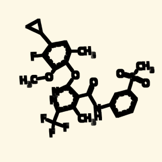 COc1c(F)c(C2CC2)cc(C)c1Oc1nnc(C(F)(F)F)c(C)c1C(=O)Nc1cccc(S(C)(=O)=O)c1